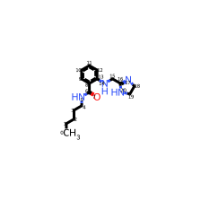 CCCCCNC(=O)c1ccccc1NCC1=NCCN1